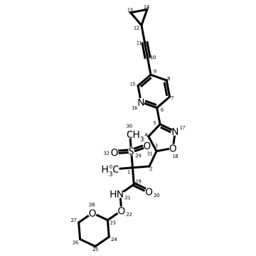 CC(CC1CC(c2ccc(C#CC3CC3)cn2)=NO1)(C(=O)NOC1CCCCO1)S(C)(=O)=O